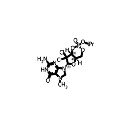 CC(C)OP1(=O)OC[C@H]2O[C@@H](N3CN(C)c4c3nc(N)[nH]c4=O)C(Cl)(Cl)[C@@H]2O1